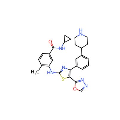 Cc1ccc(C(=O)NC2CC2)cc1Nc1nc(-c2cccc(C3CCNCC3)c2)c(-c2nnco2)s1